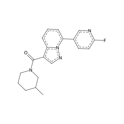 CC1CCCN(C(=O)c2cnn3c(-c4ccc(F)nc4)cccc23)C1